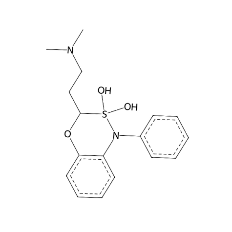 CN(C)CCC1Oc2ccccc2N(c2ccccc2)S1(O)O